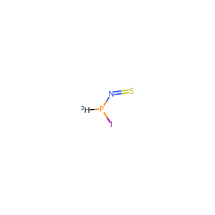 [2H]P(I)N=S